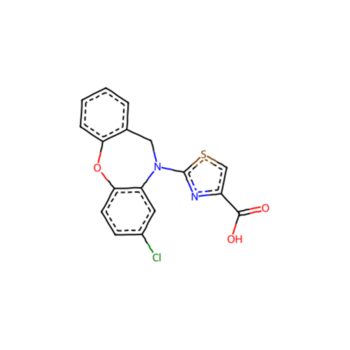 O=C(O)c1csc(N2Cc3ccccc3Oc3ccc(Cl)cc32)n1